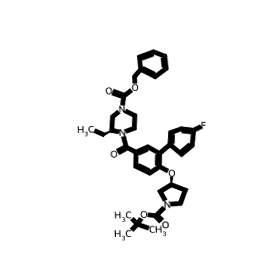 CC[C@H]1CN(C(=O)OCc2ccccc2)CCN1C(=O)c1ccc(O[C@H]2CCN(C(=O)OC(C)(C)C)C2)c(-c2ccc(F)cc2)c1